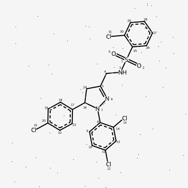 O=S(=O)(NCC1=NN(c2ccc(Cl)cc2Cl)C(c2ccc(Cl)cc2)C1)c1ccccc1Cl